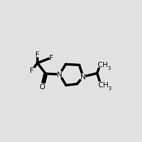 CC(C)N1CCN(C(=O)C(F)(F)F)CC1